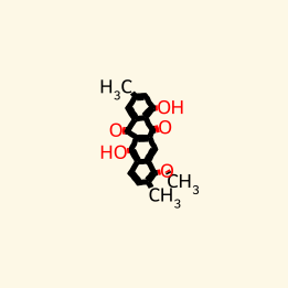 COc1c(C)ccc2c(O)c3c(cc12)C(=O)c1c(O)cc(C)cc1C3=O